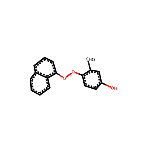 O=Cc1cc(O)ccc1OOc1cccc2ccccc12